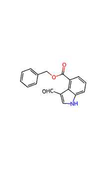 O=Cc1c[nH]c2cccc(C(=O)OCc3ccccc3)c12